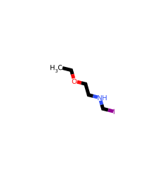 CCOCCNCI